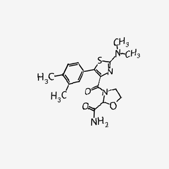 Cc1ccc(-c2sc(N(C)C)nc2C(=O)N2CCOC2C(N)=O)cc1C